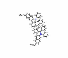 COc1ccc2cc(N(c3ccccc3)c3c4ccccc4c(-c4c5ccccc5c(N(c5ccccc5)c5ccc6cc(OC)ccc6c5)c5ccccc45)c4ccccc34)ccc2c1